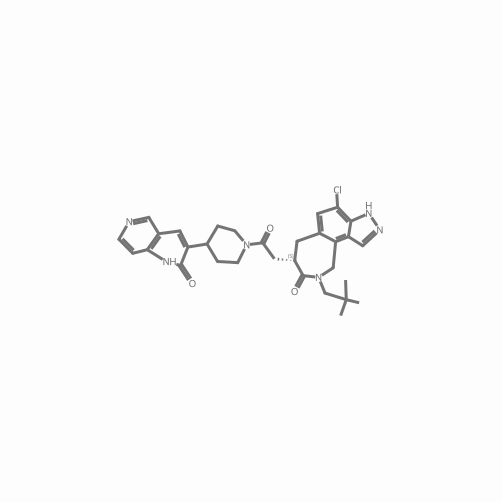 CC(C)(C)CN1Cc2c(cc(Cl)c3[nH]ncc23)C[C@@H](CC(=O)N2CCC(c3cc4cnccc4[nH]c3=O)CC2)C1=O